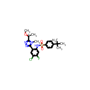 CO[C@@H](C)c1nnc(-c2cc(Cl)c(F)cc2NS(=O)(=O)c2ccc(C(C)(C)C)cc2)n1C